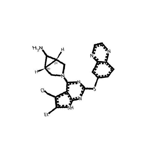 CCc1[nH]c2nc(Sc3ccc4nccnc4c3)nc(N3C[C@@H]4C(N)[C@@H]4C3)c2c1Cl